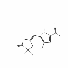 CC1(C)CC(=Cc2[nH]c(C(=O)O)cc2Br)OC1=O